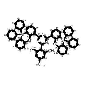 Cc1cc(C)c(-c2nc(-c3cccc4c3Oc3ccccc3[Si]4(c3ccccc3)c3ccccc3)nc(-c3cccc4c3Oc3ccccc3[Si]4(c3ccccc3)c3ccccc3)n2)c(C)c1